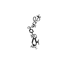 CC(C)c1cc(N)cc2nc(-c3ccc(C(=O)NCC4(C(C)C)CCN(C(=O)OC(C)(C)C)CC4)cc3)oc12